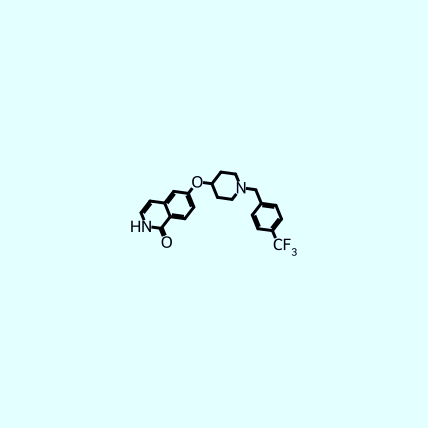 O=c1[nH]ccc2cc(OC3CCN(Cc4ccc(C(F)(F)F)cc4)CC3)ccc12